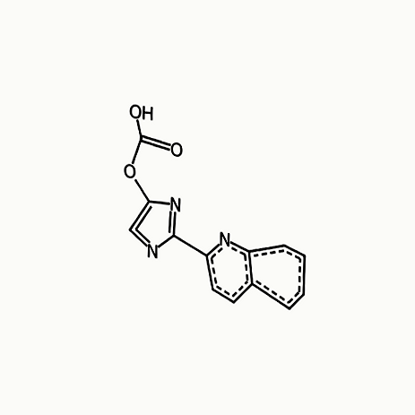 O=C(O)OC1=C=NC(c2ccc3ccccc3n2)=N1